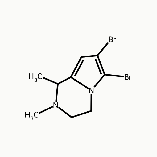 CC1c2cc(Br)c(Br)n2CCN1C